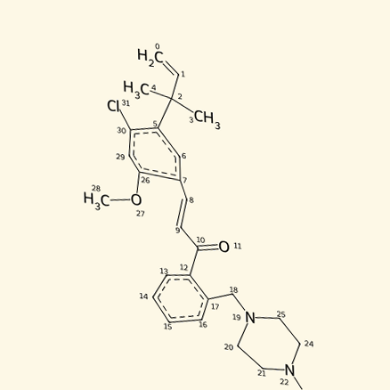 C=CC(C)(C)c1cc(C=CC(=O)c2ccccc2CN2CCN(C)CC2)c(OC)cc1Cl